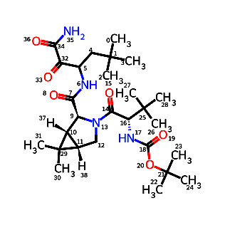 CC(C)(C)CC(NC(=O)[C@@H]1[C@@H]2[C@H](CN1C(=O)[C@@H](NC(=O)OC(C)(C)C)C(C)(C)C)C2(C)C)C(=O)C(N)=O